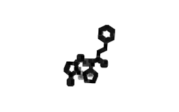 O=C(CCc1ccccc1)N[C@H]1CCC[C@@H]1N1C(=O)C=CC1=O